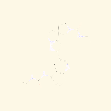 CCNC(=O)Nc1cccc2ncc(-c3cc4n(n3)CCC43CCN(C(=O)NCC)C3)cc12